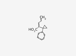 C=C/C=C(/C(=O)O)C1(c2ccccc2)CC1